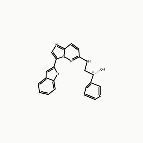 O[C@@H](CNc1ccc2ncc(-c3cc4ccccc4o3)n2n1)c1cccnc1